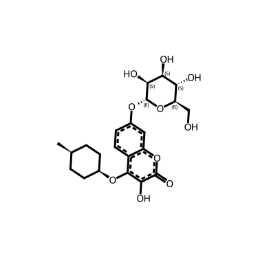 C[C@H]1CC[C@@H](Oc2c(O)c(=O)oc3cc(O[C@H]4O[C@H](CO)[C@@H](O)[C@H](O)[C@@H]4O)ccc23)CC1